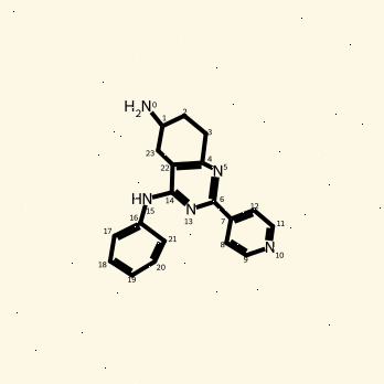 NC1CCc2nc(-c3ccncc3)nc(Nc3ccccc3)c2C1